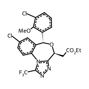 CCOC(=O)C[C@@H]1O[C@@H](c2cccc(Cl)c2OC)c2cc(Cl)ccc2-n2c1nnc2C(F)(F)F